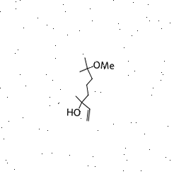 C=CC(C)(O)CCCC(C)(C)OC